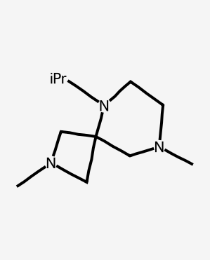 CC(C)N1CCN(C)CC12CN(C)C2